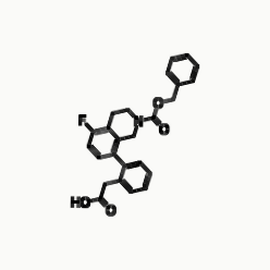 O=C(O)Cc1ccccc1-c1ccc(F)c2c1CN(C(=O)OCc1ccccc1)CC2